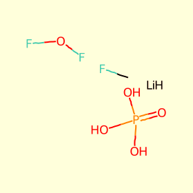 CF.FOF.O=P(O)(O)O.[LiH]